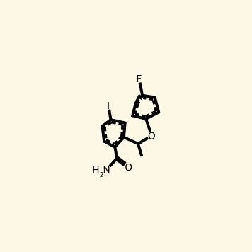 CC(Oc1ccc(F)cc1)c1cc(I)ccc1C(N)=O